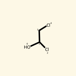 OC(Cl)[CH]Cl